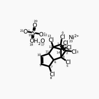 ClC1=C(Cl)C2(Cl)C3C(Cl)C=CC3C1(Cl)C2(Cl)Cl.O.O=S(=O)([O-])[O-].[Ni+2]